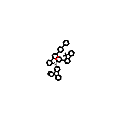 CC1(C)c2ccccc2-c2cccc(-c3cccc(N(c4ccc5c(c4)C4(CC6CCC4C6)c4ccccc4-5)c4ccccc4-c4ccc(-c5ccc(-c6ccccc6)cc5)cc4)c3)c21